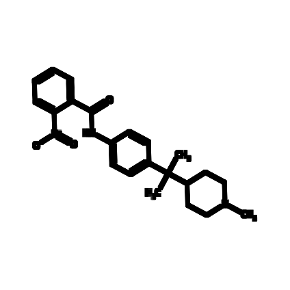 CN1CCC(C(C)(C)c2ccc(NC(=O)c3ccccc3[N+](=O)[O-])cc2)CC1